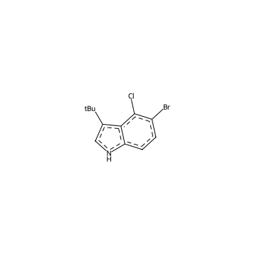 CC(C)(C)c1c[nH]c2ccc(Br)c(Cl)c12